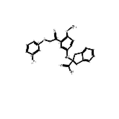 COc1ccc(NC2(C(=O)O)Cc3ccccc3C2)cc1C(=O)COc1cccc(C)c1